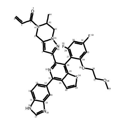 C=CC(=O)N1Cc2cc(-c3nc(-c4ccc5[nH]cnc5c4)c4ccsc4c3-c3c(F)cc(F)cc3OCCOC)nn2CC1C